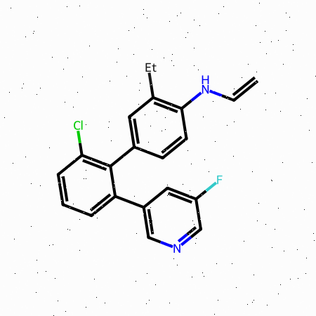 C=CNc1ccc(-c2c(Cl)cccc2-c2cncc(F)c2)cc1CC